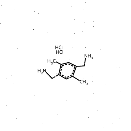 Cc1cc(CN)c(C)cc1CN.Cl.Cl